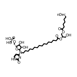 CCCCCCCCCCCCCCCC(=O)OCC(CO)OC(=O)CCCCCCCCCCCCCCCN(c1cc[nH]c(=O)n1)C1O[C@H](COP(=O)(O)O)[C@@H](O)[C@@H]1O